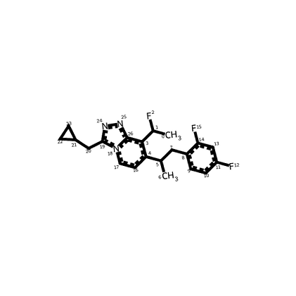 CC(F)c1c(C(C)Cc2ccc(F)cc2F)ccn2c(CC3CC3)nnc12